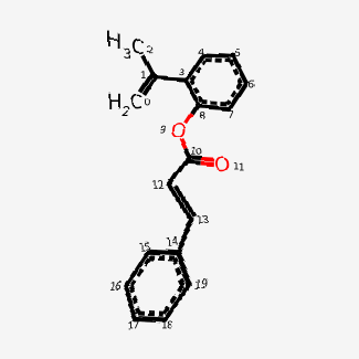 C=C(C)c1ccccc1OC(=O)C=Cc1ccccc1